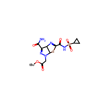 CC(C)(C)OC(=O)CN1N=C(C(N)=O)C2N=C(C(=O)NS(=O)(=O)C3CC3)SC21